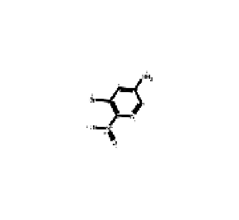 Nc1cnc([N+](=O)[O-])c(Br)c1